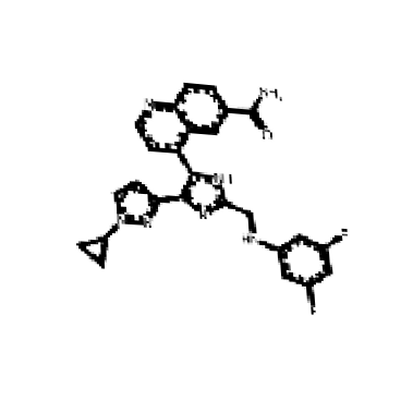 NC(=O)c1ccc2nccc(-c3[nH]c(CNc4cc(F)cc(F)c4)nc3-c3ccn(C4CC4)n3)c2c1